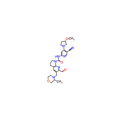 COC1CCN(c2cc(NC(=O)N3CCCc4cc(CN5CCOCC5C)c(C=O)nc43)ncc2C#N)C1